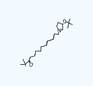 CC(C)(C)OC1CCN(CCCCCCCCCCC(=O)C(C)(C)C)C1